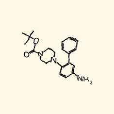 CC(C)(C)OC(=O)N1CCN(c2ccc(N)cc2-c2ccccc2)CC1